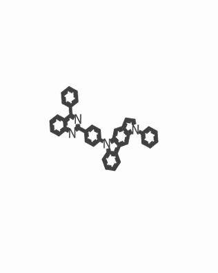 c1ccc(-c2nc(-c3ccc(-n4c5ccccc5c5cc6c(ccn6-c6ccccc6)cc54)cc3)nc3ccccc23)cc1